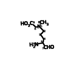 CN(CCCC(N)C=O)CC(=O)O